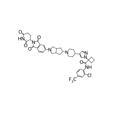 O=C1CCC(N2C(=O)c3ccc(N4CC5CC(N6CCC(c7cnn(C8(C(=O)Nc9ccc(C(F)(F)F)cc9Cl)CCC8)c7)CC6)CC5C4)cc3C2=O)C(=O)N1